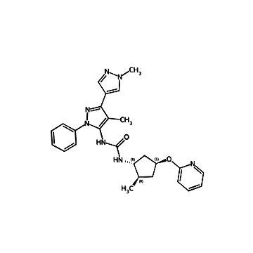 Cc1c(-c2cnn(C)c2)nn(-c2ccccc2)c1NC(=O)N[C@@H]1C[C@@H](Oc2ccccn2)C[C@H]1C